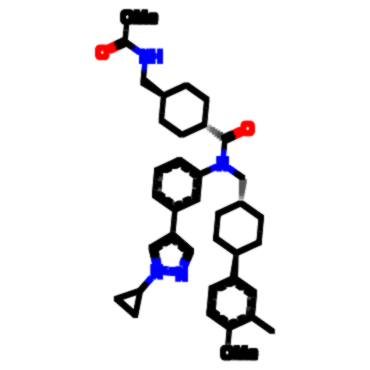 COC(=O)NC[C@H]1CC[C@H](C(=O)N(C[C@H]2CC[C@H](c3ccc(OC)c(C)c3)CC2)c2cccc(-c3cnn(C4CC4)c3)c2)CC1